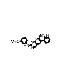 COc1cccc(Nc2ncc3cc(-c4ccccc4Br)c(C(=O)O)nc3n2)c1